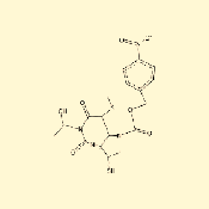 CSC(C(=O)N(C(N)=O)C(C)O)C1CC(S)CN1C(=O)OCc1ccc([N+](=O)[O-])cc1